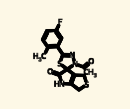 CC(=O)N1N=C(c2cc(F)ccc2C)SC12C(=O)NC1=C2CSC1